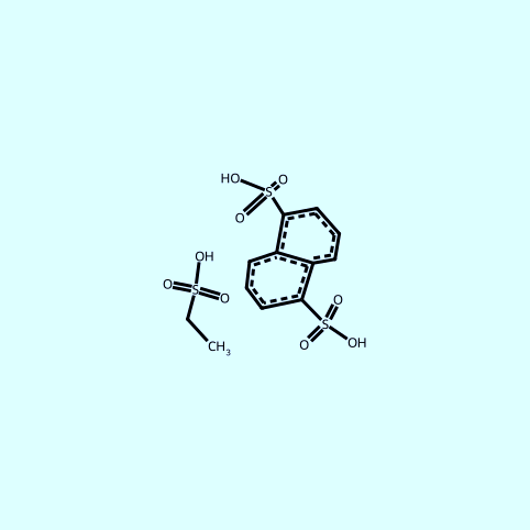 CCS(=O)(=O)O.O=S(=O)(O)c1cccc2c(S(=O)(=O)O)cccc12